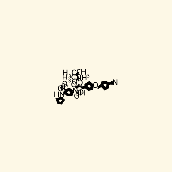 CC(C)(C)NC(=O)O[C@@H](Cc1ccc(OCc2ccc(C#N)cc2)cc1)C(=O)N(c1ccc(NC2CCCC2)c([N+](=O)[O-])c1)[SH](=O)=O